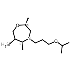 CC(C)OCCCN1C[C@H](C)OCC([SiH3])[C@@H]1C